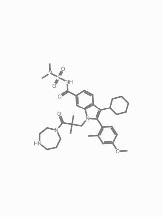 COc1ccc(-c2c(C3CCCCC3)c3ccc(C(=O)NS(=O)(=O)N(C)C)cc3n2CC(C)(C)C(=O)N2CCCNCC2)c(C)c1